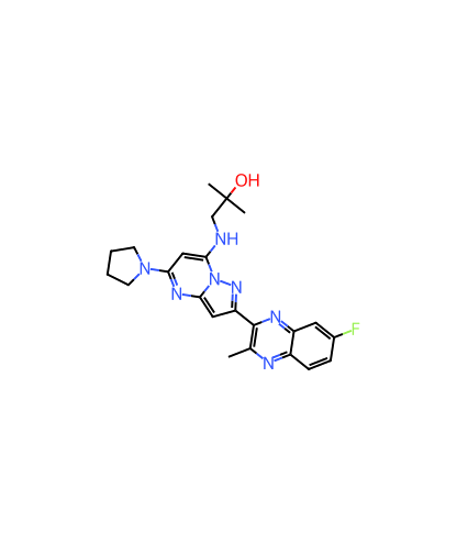 Cc1nc2ccc(F)cc2nc1-c1cc2nc(N3CCCC3)cc(NCC(C)(C)O)n2n1